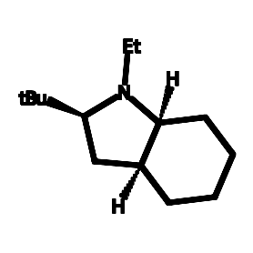 CCN1[C@H](C(C)(C)C)C[C@@H]2CCCC[C@@H]21